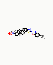 C[C@]12CCc3nc(NOc4ccc(C(F)(F)F)cc4)sc3C1=CC[C@@H]1[C@@H]2CC[C@]2(C)/C(=N/O)CC[C@@H]12